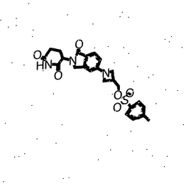 Cc1ccc(S(=O)(=O)OCC2CN(c3ccc4c(c3)CN(C3CCC(=O)NC3=O)C4=O)C2)cc1